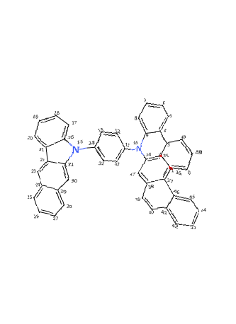 C1=CCC(c2ccccc2N(c2ccc(-n3c4ccccc4c4cc5ccccc5cc43)cc2)c2ccc3c(ccc4ccccc43)c2)C=C1